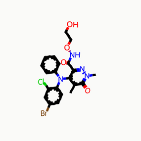 Cc1c(N(c2ccccc2)c2ccc(Br)cc2Cl)c(C(=O)NOCCO)nn(C)c1=O